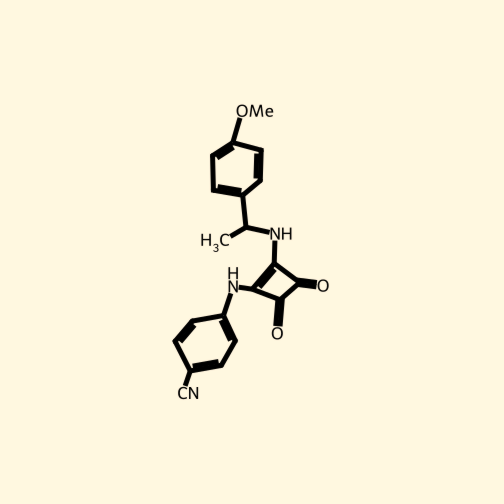 COc1ccc(C(C)Nc2c(Nc3ccc(C#N)cc3)c(=O)c2=O)cc1